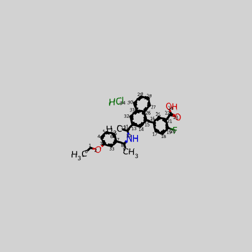 CCOc1cccc(C(C)NC(C)c2cc(-c3ccc(F)c(C(=O)O)c3)c3ccccc3c2)c1.Cl